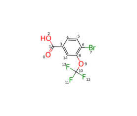 O=C(O)c1ccc(Br)c(OC(F)(F)F)c1